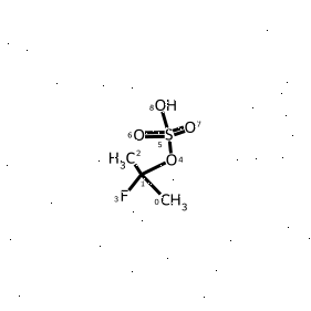 CC(C)(F)OS(=O)(=O)O